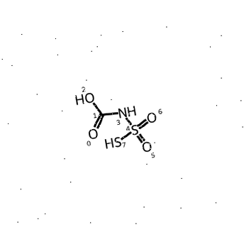 O=C(O)NS(=O)(=O)S